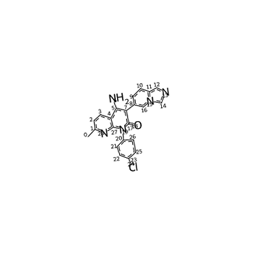 Cc1ccc2c(N)c(-c3ccc4cncn4c3)c(=O)n(-c3ccc(Cl)cc3)c2n1